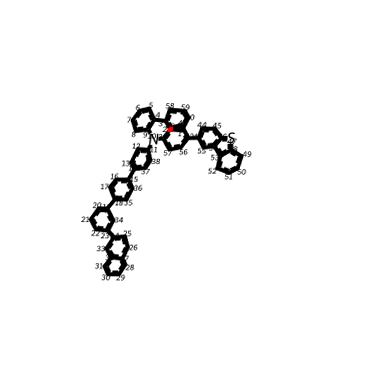 c1ccc(-c2ccccc2N(c2ccc(-c3ccc(-c4cccc(-c5ccc6ccccc6c5)c4)cc3)cc2)c2ccc(-c3ccc4sc5ccccc5c4c3)cc2)cc1